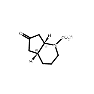 O=C1C[C@H]2CCCN(C(=O)O)[C@H]2C1